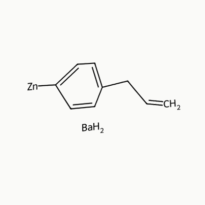 C=CCc1cc[c]([Zn])cc1.[BaH2]